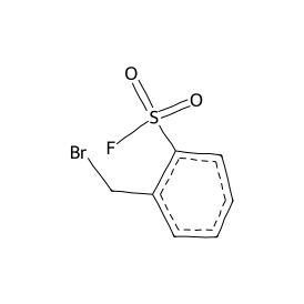 O=S(=O)(F)c1ccccc1CBr